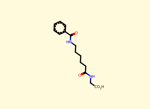 O=C(O)CNC(=O)CCCCCNC(=O)c1ccccc1